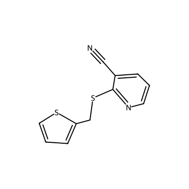 N#Cc1cccnc1SCc1cccs1